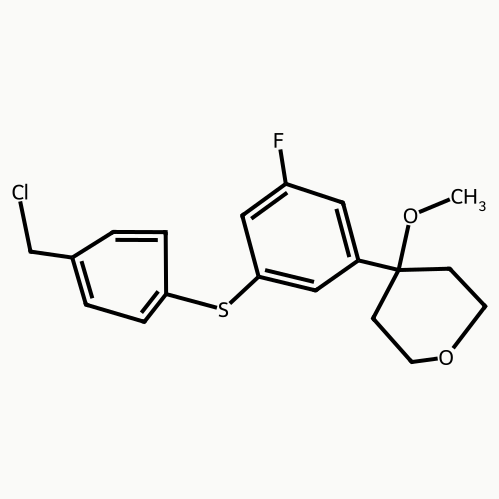 COC1(c2cc(F)cc(Sc3ccc(CCl)cc3)c2)CCOCC1